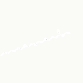 CCCCCCCOCCOCCOCCCC(=O)OCC